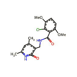 COc1ccc(OC)c(C(=O)NCc2c(C)cc(C)[nH]c2=O)c1Cl